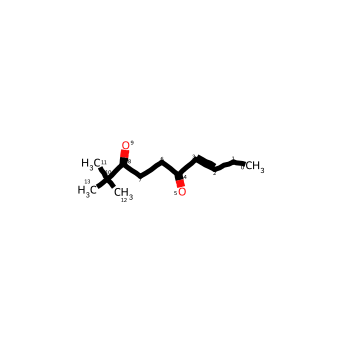 CC/C=C/C(=O)CCC(=O)C(C)(C)C